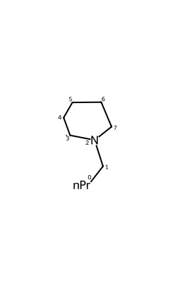 CCCCN1[CH]CCCC1